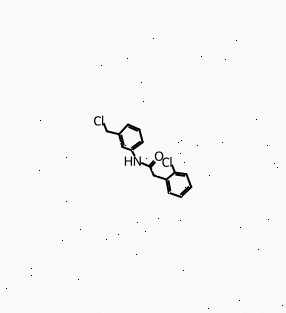 O=C(Cc1ccccc1Cl)Nc1cccc(CCl)c1